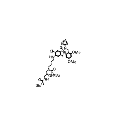 COc1ccc(CN(c2ncns2)S(=O)(=O)c2cc(Cl)c(NCCCCN(C[C@@H](O)CNC(=O)OC(C)(C)C)C(=O)OC(C)(C)C)cc2F)c(OC)c1